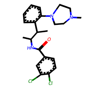 CC(NC(=O)c1ccc(Cl)c(Cl)c1)C(C)c1ccccc1N1CCN(C)CC1